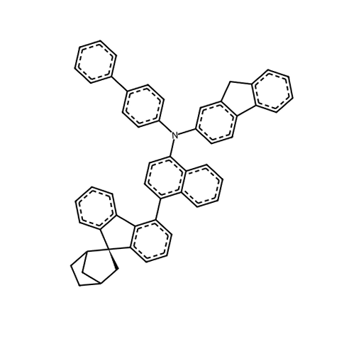 c1ccc(-c2ccc(N(c3ccc4c(c3)Cc3ccccc3-4)c3ccc(-c4cccc5c4-c4ccccc4[C@]54CC5CCC4C5)c4ccccc34)cc2)cc1